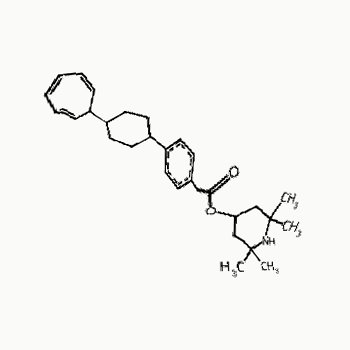 CC1(C)CC(OC(=O)c2ccc(C3CCC(C4C=CC=CC=C4)CC3)cc2)CC(C)(C)N1